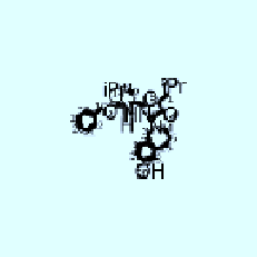 CC(C)CCC(=O)C(NC(=O)[C@H](CC(C)C)NC(=O)OCc1ccccc1)N1CCCc2cc(O)ccc2C1